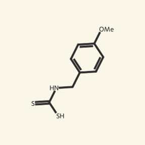 COc1ccc(CNC(=S)S)cc1